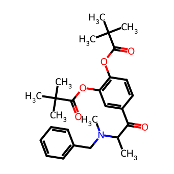 CC(C(=O)c1ccc(OC(=O)C(C)(C)C)c(OC(=O)C(C)(C)C)c1)N(C)Cc1ccccc1